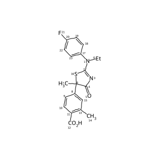 CCN(C1=NC(=O)C(C)(c2ccc(C(=O)O)c(C)c2)S1)c1ccc(F)cc1